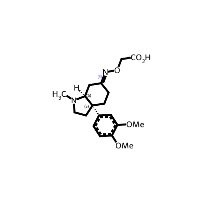 COc1ccc([C@@]23CC/C(=N\OCC(=O)O)C[C@@H]2N(C)CC3)cc1OC